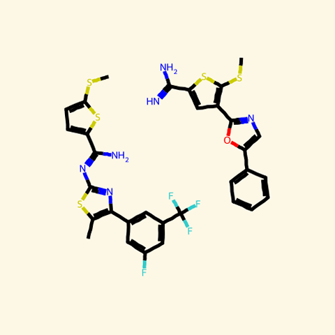 CSc1ccc(C(N)=Nc2nc(-c3cc(F)cc(C(F)(F)F)c3)c(C)s2)s1.CSc1sc(C(=N)N)cc1-c1ncc(-c2ccccc2)o1